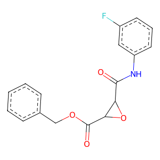 O=C(Nc1cccc(F)c1)C1OC1C(=O)OCc1ccccc1